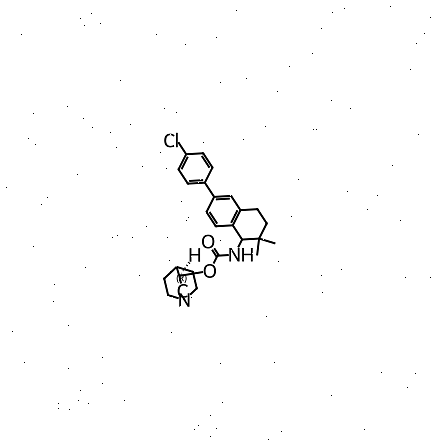 CC1(C)CCc2cc(-c3ccc(Cl)cc3)ccc2C1NC(=O)O[C@H]1CN2CCC1CC2